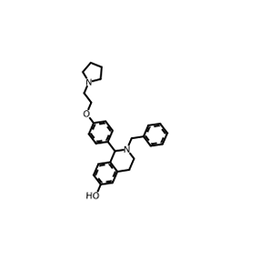 Oc1ccc2c(c1)CCN(Cc1ccccc1)C2c1ccc(OCCN2CCCC2)cc1